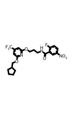 O=C(NCCCOc1cc(C(F)(F)F)cc(OCC2CCCC2)n1)c1cc([N+](=O)[O-])ccc1F